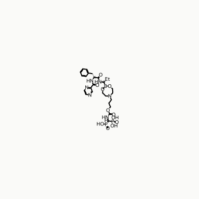 CC[C@H](NC(=O)[C@@H](Cc1ccccc1)NC(=O)c1cnccn1)B1OCCN(CCCOC(=O)NC([PH](=O)O)P(=O)(O)O)CCO1